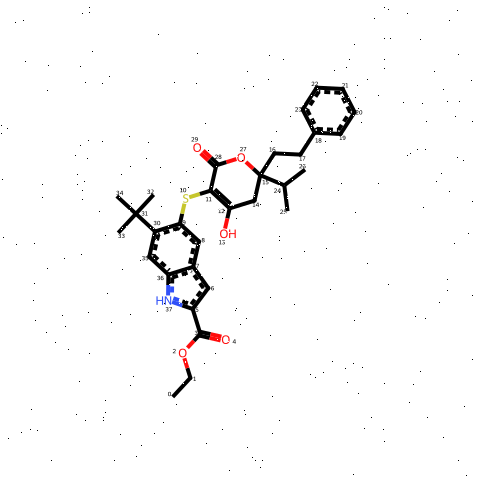 CCOC(=O)c1cc2cc(SC3=C(O)CC(CCc4ccccc4)(C(C)C)OC3=O)c(C(C)(C)C)cc2[nH]1